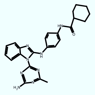 Cc1nc(N)nc(-n2c(Nc3ccc(NC(=O)C4CCCCC4)cc3)nc3ccccc32)n1